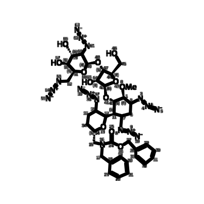 CO[C@H]1C(N=[N+]=[N-])CC(N=[N+]=[N-])[C@@H](C2O[C@H](CN(Cc3ccccc3)C(=O)OCc3ccccc3)CCC2N=[N+]=[N-])[C@@H]1O[C@@H]1O[C@H](CO)[C@@H](O[C@H]2O[C@@H](CN=[N+]=[N-])[C@@H](O)[C@H](O)C2N=[N+]=[N-])[C@H]1O